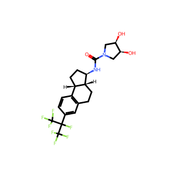 O=C(N[C@@H]1CC[C@H]2c3ccc(C(F)(C(F)(F)F)C(F)(F)F)cc3CC[C@@H]12)N1C[C@@H](O)[C@@H](O)C1